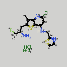 Cc1c(C[C@@H](N)[C@H](C)F)sc2c(NCc3nccs3)cc(Cl)nc12.Cl.Cl